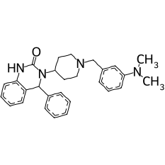 CN(C)c1cccc(CN2CCC(N3C(=O)Nc4ccccc4C3c3ccccc3)CC2)c1